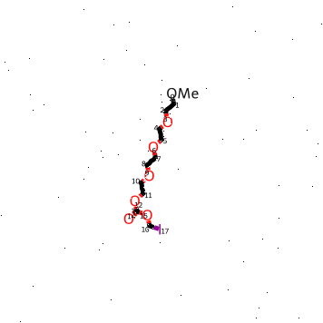 COCCOCCOCCOCCOC(=O)OCI